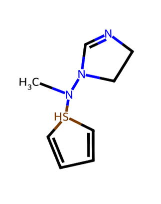 CN(N1C=NCC1)[SH]1C=CC=C1